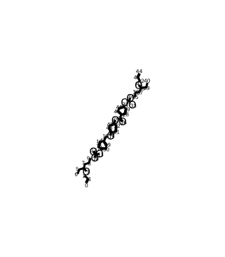 C=CCOC(CC)CCCOC(=O)Oc1ccc(COc2ccc(OC(=O)c3ccc(OC(=O)OCCCC(CC)OCC=C)cc3)cc2)cc1